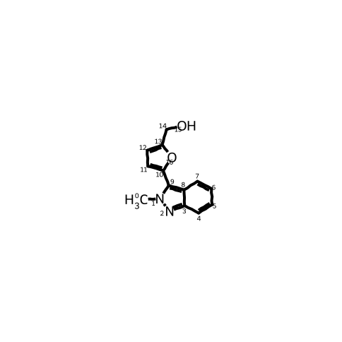 Cn1nc2ccccc2c1-c1ccc(CO)o1